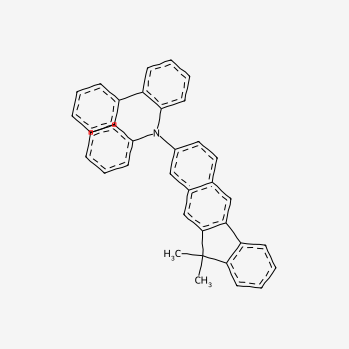 CC1(C)c2ccccc2-c2cc3ccc(N(c4ccccc4)c4ccccc4-c4ccccc4)cc3cc21